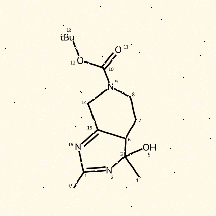 CC1=NC(C)(O)C2CCN(C(=O)OC(C)(C)C)CC2=N1